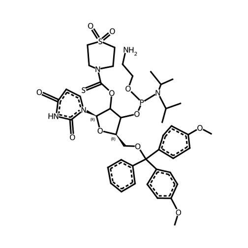 COc1ccc(C(OC[C@H]2O[C@@H](n3ccc(=O)[nH]c3=O)C(OC(=S)N3CCS(=O)(=O)CC3)C2OP(OCCN)N(C(C)C)C(C)C)(c2ccccc2)c2ccc(OC)cc2)cc1